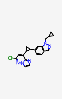 Clc1cc(C2CC2c2ccc3cnn(CC4CC4)c3c2)c2nccn2n1